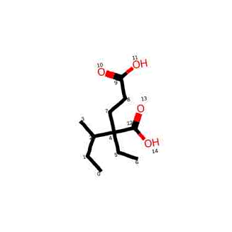 CCC(C)C(CC)(CCC(=O)O)C(=O)O